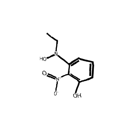 CCN(O)c1cccc(O)c1[N+](=O)[O-]